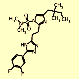 CCC(C)(C)Cc1cn(S(=O)(=O)N(C)C)c(CCc2nnc(-c3ccc(F)c(F)c3)[nH]2)n1